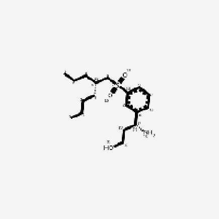 CCCC[C@H](CCC)CS(=O)(=O)c1cccc([C@H](N)CCO)c1